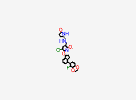 COc1nc(O[C@H]2CCc3c(-c4ccc5c(c4F)OCCO5)cccc32)c(Cl)cc1CNC[C@@H]1CCC(=O)N1